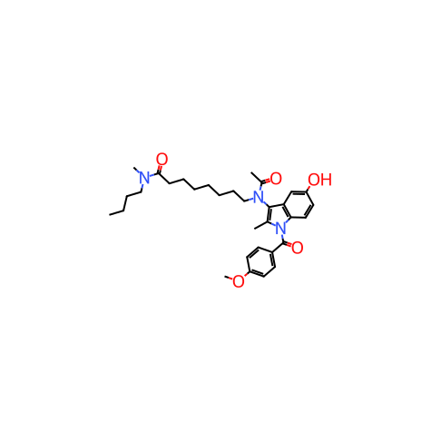 CCCCN(C)C(=O)CCCCCCCN(C(C)=O)c1c(C)n(C(=O)c2ccc(OC)cc2)c2ccc(O)cc12